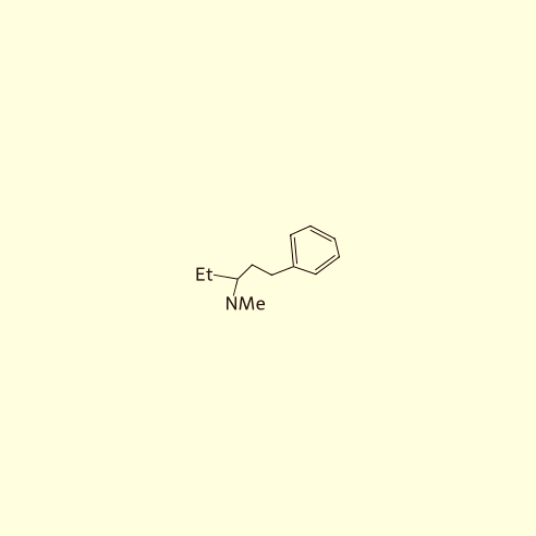 CCC(CCc1ccccc1)NC